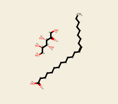 CCCCCCCC/C=C\CCCCCCCCCCCC(=O)O.O=C(CO)[C@@H](O)[C@H](O)[C@H](O)CO